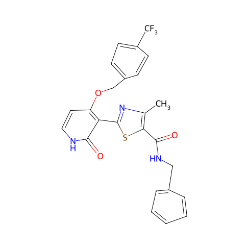 Cc1nc(-c2c(OCc3ccc(C(F)(F)F)cc3)cc[nH]c2=O)sc1C(=O)NCc1ccccc1